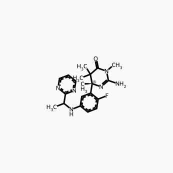 CC(Nc1ccc(F)c([C@@]2(C)N=C(N)N(C)C(=O)C2(C)C)c1)c1ncccn1